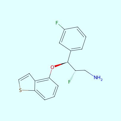 NC[C@H](F)[C@@H](Oc1cccc2sccc12)c1cccc(F)c1